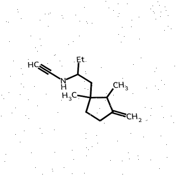 C#CNC(CC)CC1(C)CCC(=C)C1C